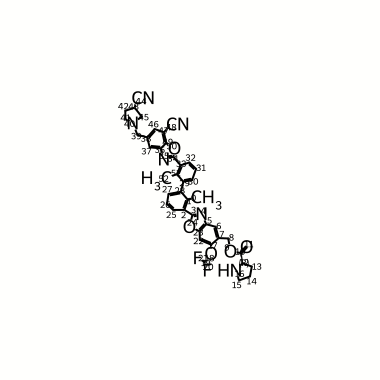 Cc1c(-c2nc3cc(COC(=O)[C@H]4CCCN4)c(OC(F)F)cc3o2)cccc1-c1cccc(-c2nc3cc(CN4CCC(C#N)C4)cc(C#N)c3o2)c1C